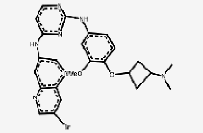 COc1cc(Nc2nccc(Nc3cnc4cc(Br)cnc4c3)n2)ccc1OC1CC(N(C)C)C1